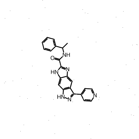 CC(NC(=O)c1nc2cc3c(-c4ccncc4)n[nH]c3cc2[nH]1)c1ccccc1